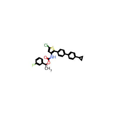 C[C@@H](OC(=O)Nc1cc(Cl)sc1-c1ccc(-c2ccc(C3CC3)cc2)cc1)c1cccc(F)c1